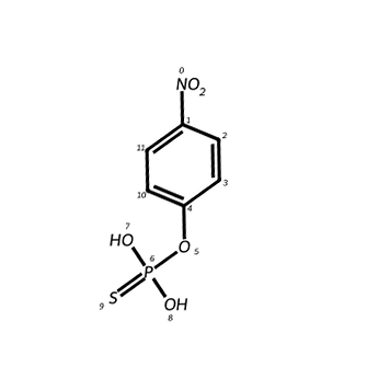 O=[N+]([O-])c1ccc(OP(O)(O)=S)cc1